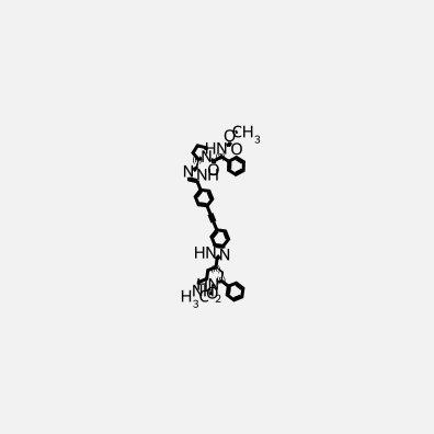 CON[C@@H](C[C@@H](CCCN)c1nc2ccc(C#Cc3ccc(-c4cnc([C@H]5CCCN5C(=O)[C@@H](NC(=O)OC)c5ccccc5)[nH]4)cc3)cc2[nH]1)c1ccccc1